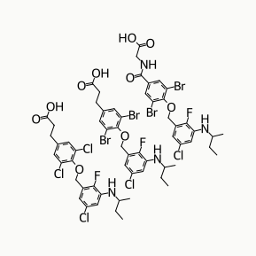 CCC(C)Nc1cc(Cl)cc(COc2c(Br)cc(C(=O)NCC(=O)O)cc2Br)c1F.CCC(C)Nc1cc(Cl)cc(COc2c(Br)cc(CCC(=O)O)cc2Br)c1F.CCC(C)Nc1cc(Cl)cc(COc2c(Cl)cc(CCC(=O)O)cc2Cl)c1F